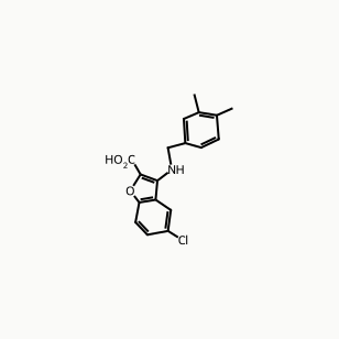 Cc1ccc(CNc2c(C(=O)O)oc3ccc(Cl)cc23)cc1C